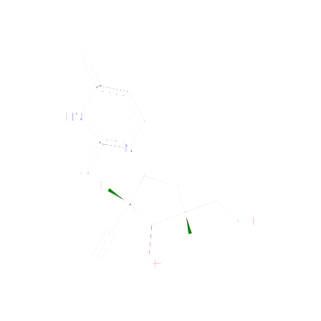 C#C[C@@]1(F)C(O)[C@@](F)(CO)O[C@H]1n1ccc(=S)[nH]c1=O